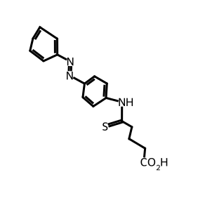 O=C(O)CCCC(=S)Nc1ccc(N=Nc2ccccc2)cc1